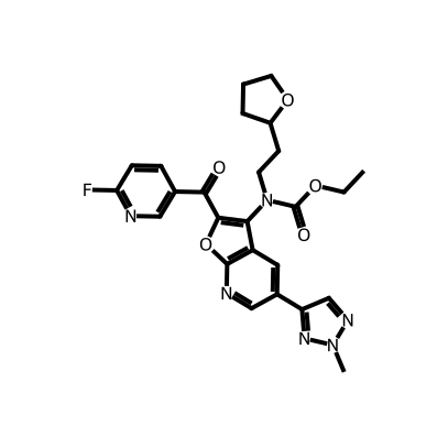 CCOC(=O)N(CCC1CCCO1)c1c(C(=O)c2ccc(F)nc2)oc2ncc(-c3cnn(C)n3)cc12